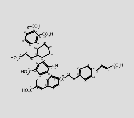 CC(=Cc1ccccc1)C(=O)O.CC(=O)O.CC=CC(=O)O.N#Cc1ccc(C(=O)O)cc1.O=C(O)CCC1CCCCC1.O=C(O)CCc1ccccc1.O=C(O)c1ccccc1